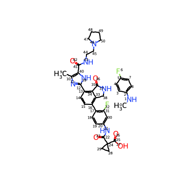 CNc1ccc(F)cc1.Cc1nc(-c2ccc(-c3ccc(NC(=O)C4(C(=O)O)CC4)cc3F)c3c2C(=O)NC3)[nH]c1C(=O)NCCN1CCCC1